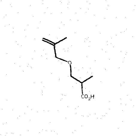 C=C(C)COCC(C)C(=O)O